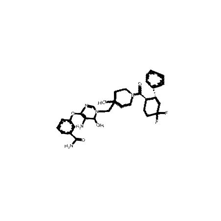 NC(=O)c1cccc(OC2=C(N)C(O)N(CC3(O)CCN(C(=O)[C@@H]4CCC(F)(F)C[C@H]4c4ccccc4)CC3)C=N2)c1